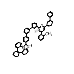 CC1C=CC=CC1C1C=C(C2=CCCC(C3=CC=CCC3)=C2)N=C(c2cccc(-c3cccc(-c4ccc(C5NC6=CCCC7=C6N5c5ccccc5C5=C7CCC=C5)cc4)c3)c2)N1